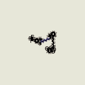 CN1/C(=C/C=C/C=C/C2=[N+](CCCCCC(=O)ON3C(=O)CCC3=O)c3ccccc3C2(C)C)C(C)(C)c2ccccc21.F[B-](F)(F)F